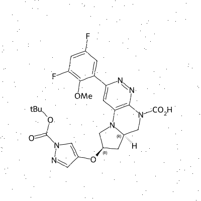 COc1c(F)cc(F)cc1-c1cc2c(nn1)N(C(=O)O)C[C@H]1C[C@@H](Oc3cnn(C(=O)OC(C)(C)C)c3)CN21